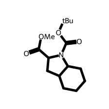 COC(=O)C1CC2CCCCC2N1C(=O)OC(C)(C)C